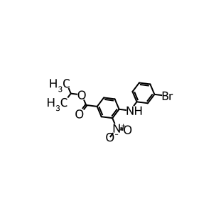 CC(C)OC(=O)c1ccc(Nc2cccc(Br)c2)c([N+](=O)[O-])c1